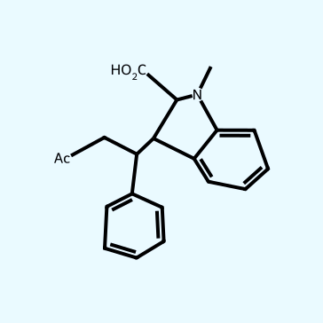 CC(=O)CC(c1ccccc1)C1c2ccccc2N(C)C1C(=O)O